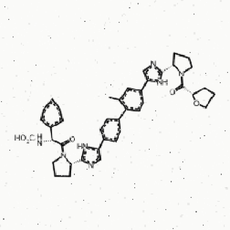 Cc1cc(-c2cnc([C@@H]3CCCN3C(=O)[C@@H]3CCCO3)[nH]2)ccc1-c1ccc(-c2cnc([C@@H]3CCCN3C(=O)[C@H](NC(=O)O)c3ccccc3)[nH]2)cc1